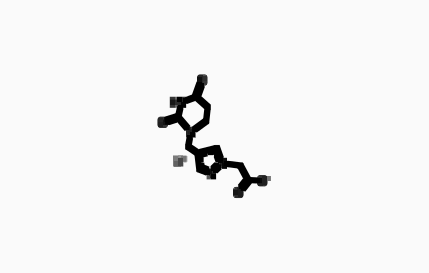 O=C([O-])Cn1cc(CN2CCC(=O)NC2=O)cn1.[Li+]